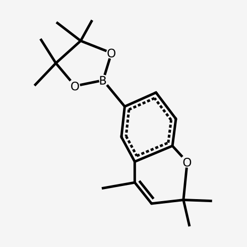 CC1=CC(C)(C)Oc2ccc(B3OC(C)(C)C(C)(C)O3)cc21